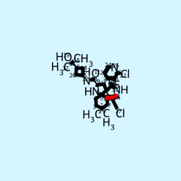 CC1(C)CCC2(CC1)N[C@@H](C(=O)N[C@H]1C[C@H](C(C)(C)O)C1)[C@H](c1ccnc(Cl)c1F)[C@]21C(=O)NC2C=C(Cl)C=CC21